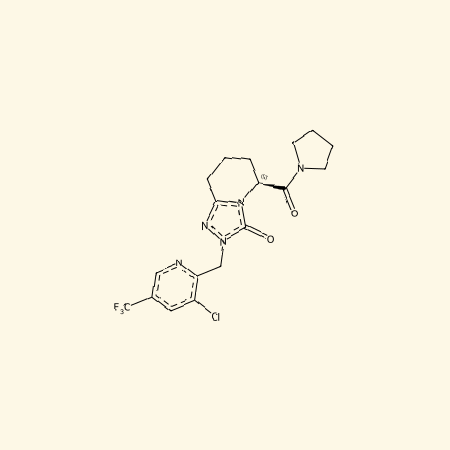 O=C([C@@H]1CCCc2nn(Cc3ncc(C(F)(F)F)cc3Cl)c(=O)n21)N1CCCC1